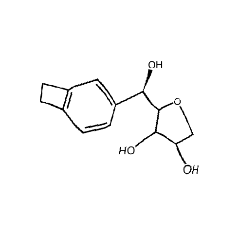 OC1COC([C@H](O)c2ccc3c(c2)CC3)C1O